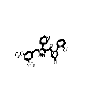 O=C1CC(c2ccccc2Cl)N(C(=O)c2nnn(Cc3cc(C(F)(F)F)cc(C(F)(F)F)c3)c2-c2cccnc2)C1